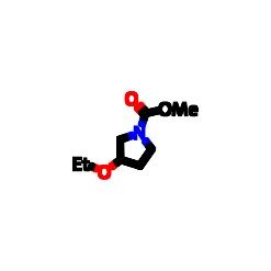 CCOC1CCN(C(=O)OC)C1